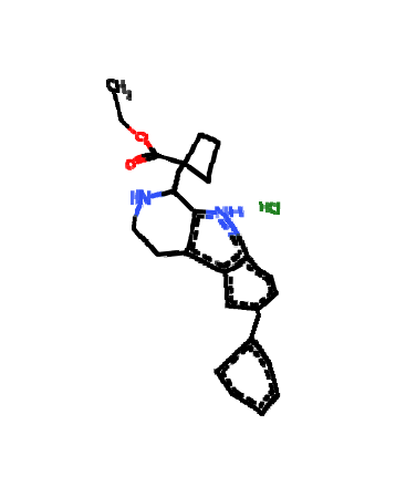 CCOC(=O)C1(C2NCCc3c2[nH]c2ccc(-c4ccccc4)cc32)CCC1.Cl